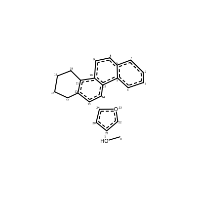 CO.c1ccc2c(c1)ccc1c3c(ccc12)CCCC3.c1ccoc1